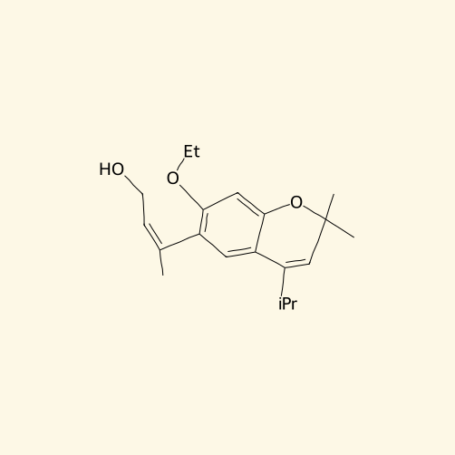 CCOc1cc2c(cc1/C(C)=C\CO)C(C(C)C)=CC(C)(C)O2